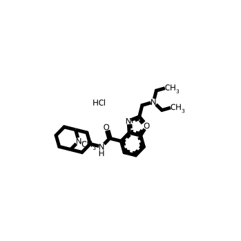 CCN(CC)Cc1nc2c(C(=O)NC3CC4CCCC(C3)N4C)cccc2o1.Cl